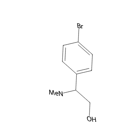 CNC(CO)c1ccc(Br)cc1